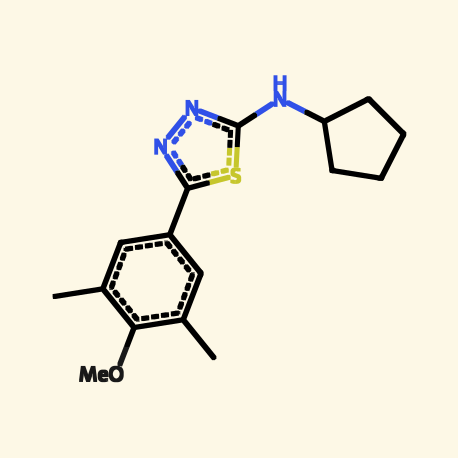 COc1c(C)cc(-c2nnc(NC3CCCC3)s2)cc1C